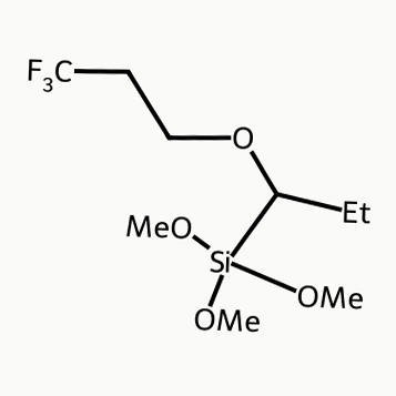 CCC(OCCC(F)(F)F)[Si](OC)(OC)OC